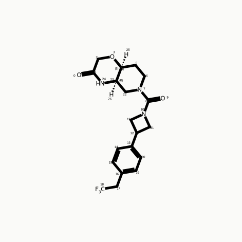 O=C1CO[C@H]2CCN(C(=O)N3CC(c4ccc(CC(F)(F)F)cc4)C3)C[C@H]2N1